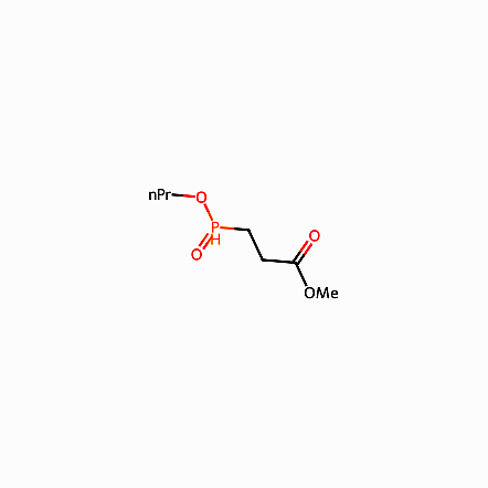 CCCO[PH](=O)CCC(=O)OC